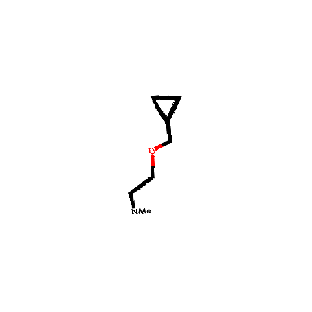 CNCCOCC1CC1